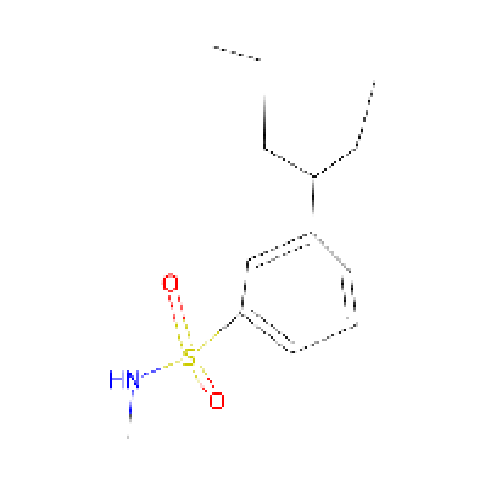 CCCC(CC)c1cccc(S(=O)(=O)NC)c1